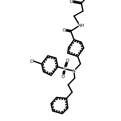 O=C(O)CCNC(=O)c1ccc(CN(CCCc2ccccc2)S(=O)(=O)c2ccc(Cl)cc2)cc1